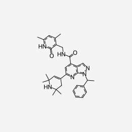 Cc1cc(C)c(CNC(=O)c2cc(C3=CC(C)(C)NC(C)(C)C3)nc3c2cnn3C(C)c2ccccc2)c(=O)[nH]1